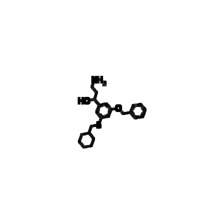 NCCC(O)c1cc(OCc2ccccc2)cc(SCC2CCCCC2)c1